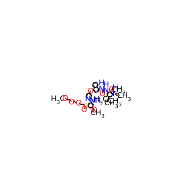 COCCOCCOCC[S+]([O-])c1cc(Nc2cc(Oc3ccc(NC(=O)Nc4cc(C(C)(C)C)cc(NSC)c4OC)c4ccccc34)ccn2)cc(OC)c1